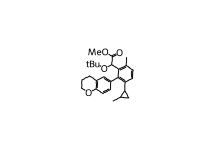 COC(=O)C(OC(C)(C)C)c1c(C)ccc(C2CC2C)c1-c1ccc2c(c1)CCCO2